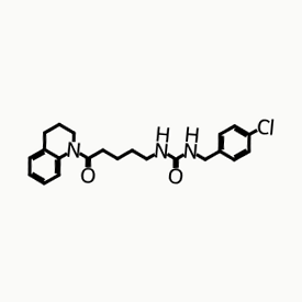 O=C(NCCCCC(=O)N1CCCc2ccccc21)NCc1ccc(Cl)cc1